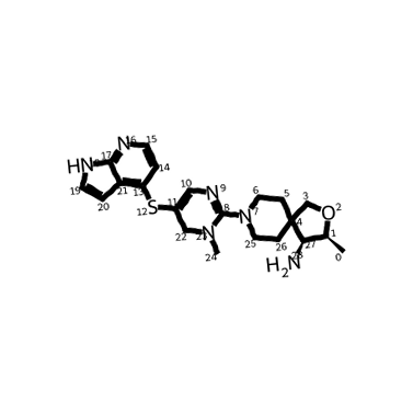 C[C@@H]1OCC2(CCN(C3=NC=C(Sc4ccnc5[nH]ccc45)CN3C)CC2)[C@@H]1N